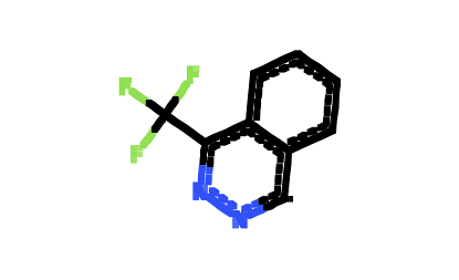 FC(F)(F)c1nn[c]c2ccccc12